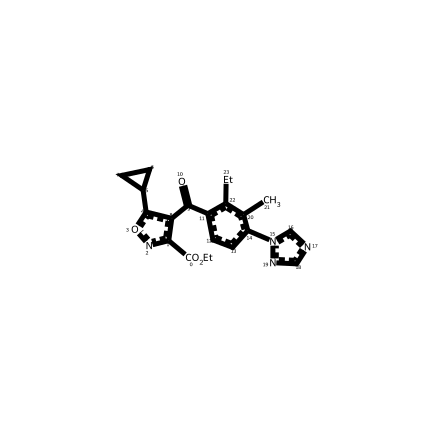 CCOC(=O)c1noc(C2CC2)c1C(=O)c1ccc(-n2cncn2)c(C)c1CC